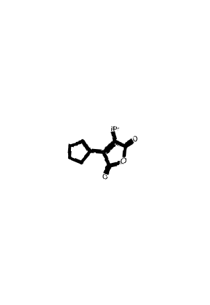 CC(C)C1=C(C2CCCC2)C(=O)OC1=O